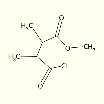 COC(=O)C(C)C(C)C(=O)Cl